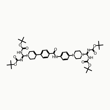 CC(C)(C)OC(=O)N=C(NC(=O)OC(C)(C)C)N1CC=C(c2ccc(C(=O)Nc3ccc(N4CCN(C(=NC(=O)OC(C)(C)C)NC(=O)OC(C)(C)C)CC4)cc3)cc2)CC1